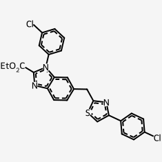 CCOC(=O)c1nc2ccc(Cc3nc(-c4ccc(Cl)cc4)cs3)cc2n1-c1cccc(Cl)c1